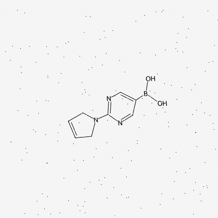 OB(O)c1cnc(N2CC=CC2)nc1